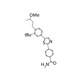 COC(C)CCc1ccc(-c2cnc(-c3ccc(C(N)=O)cc3)s2)cc1C(C)(C)C